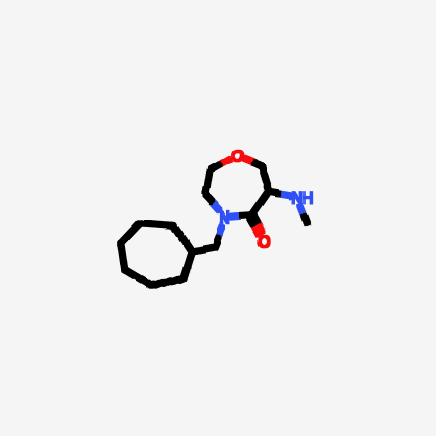 CNC1COCCN(CC2CCCCCC2)C1=O